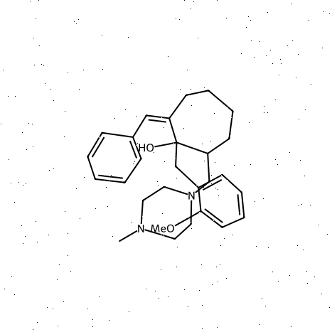 COc1ccccc1CC1(O)/C(=C\c2ccccc2)CCCCC1CN1CCN(C)CC1